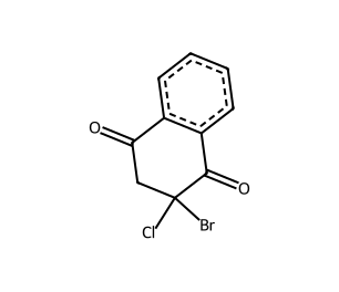 O=C1CC(Cl)(Br)C(=O)c2ccccc21